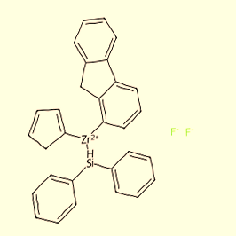 C1=CC[C]([Zr+2]([c]2cccc3c2Cc2ccccc2-3)[SiH](c2ccccc2)c2ccccc2)=C1.[F-].[F-]